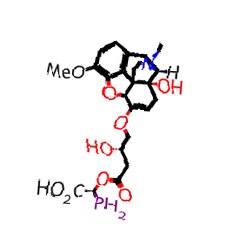 COc1ccc2c3c1OC1C(OC[C@@H](O)CC(=O)O[C@@H](P)C(=O)O)=CC[C@@]4(O)[C@@H](C2)N(C)CCC314